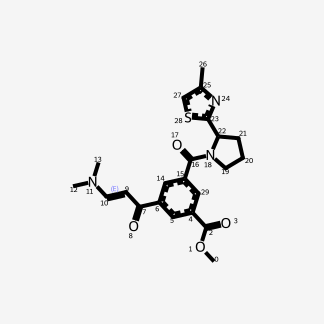 COC(=O)c1cc(C(=O)/C=C/N(C)C)cc(C(=O)N2CCCC2c2nc(C)cs2)c1